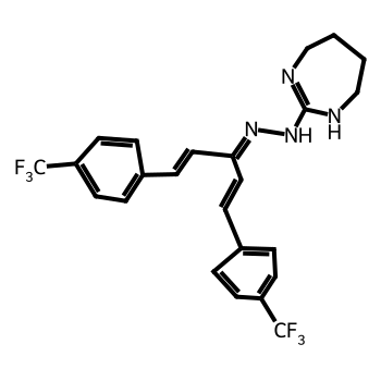 FC(F)(F)c1ccc(C=CC(C=Cc2ccc(C(F)(F)F)cc2)=NNC2=NCCCCN2)cc1